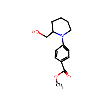 COC(=O)c1ccc(N2CCCCC2CO)cc1